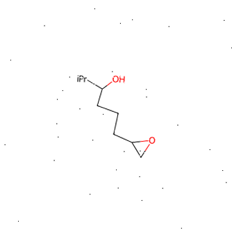 CC(C)C(O)CCCC1CO1